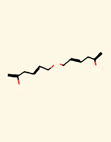 C=C(O)CC=CCOCC=CCC(=C)O